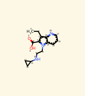 CCc1c(C(=O)O)n(CCNC2CC2)c2cccnc12